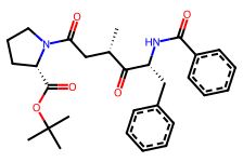 C[C@@H](CC(=O)N1CCC[C@H]1C(=O)OC(C)(C)C)C(=O)[C@@H](Cc1ccccc1)NC(=O)c1ccccc1